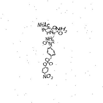 CC(=O)N[C@H](C(=O)N[C@@H](CCCN(C(N)=O)c1ccc(COC(=O)Oc2ccc([N+](=O)[O-])cc2)cc1)C(N)=O)C(C)C